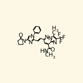 CNC(=O)c1cc(/C=C/c2nc(N3CCCC3=O)cn2-c2ccccc2)nn2c(C)c(C(F)(F)F)nc12